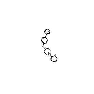 c1cnc(N2CCN(Cc3ccc(-c4ccsc4)cc3)CC2)nc1